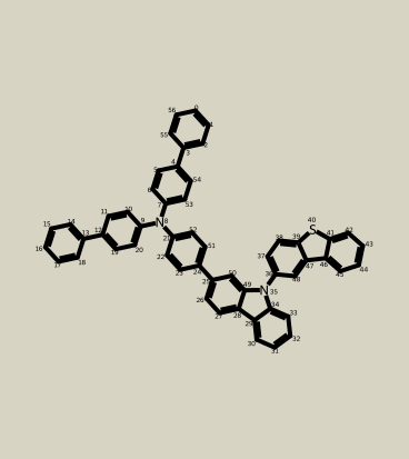 c1ccc(-c2ccc(N(c3ccc(-c4ccccc4)cc3)c3ccc(-c4ccc5c6ccccc6n(-c6ccc7sc8ccccc8c7c6)c5c4)cc3)cc2)cc1